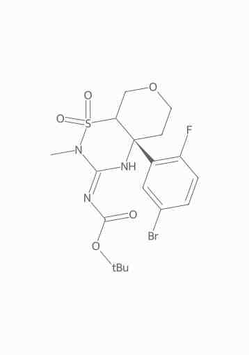 CN1/C(=N/C(=O)OC(C)(C)C)N[C@@]2(c3cc(Br)ccc3F)CCOCC2S1(=O)=O